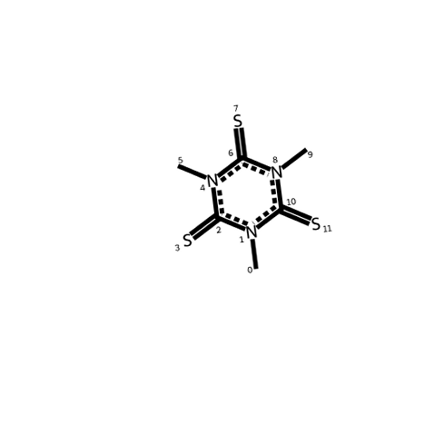 Cn1c(=S)n(C)c(=S)n(C)c1=S